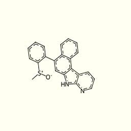 C[S+]([O-])c1ccccc1-c1cc2[nH]c3ncccc3c2c2ccccc12